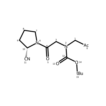 CC(=O)CN(CC(=O)N1CCC[C@H]1C#N)C(=O)OC(C)(C)C